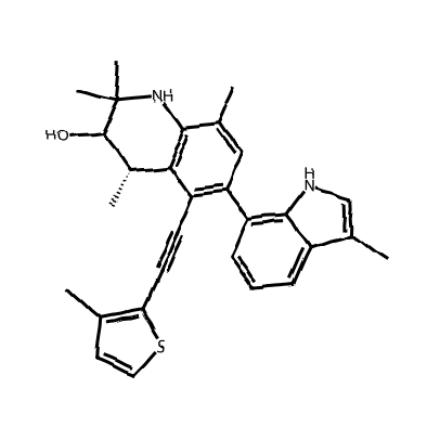 Cc1ccsc1C#Cc1c(-c2cccc3c(C)c[nH]c23)cc(C)c2c1[C@H](C)C(O)C(C)(C)N2